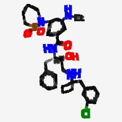 CCNc1cc(C(=O)N[C@@H](Cc2ccccc2)[C@H](O)CNC2(Cc3cccc(Cl)c3)CCC2)cc(N2CCCCS2(=O)=O)c1